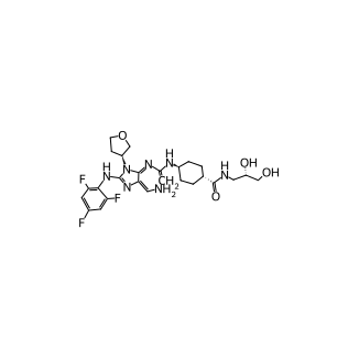 C=C(/N=C1\C(=C/N)N=C(Nc2c(F)cc(F)cc2F)N1[C@H]1CCOC1)N[C@H]1CC[C@H](C(=O)NC[C@H](O)CO)CC1